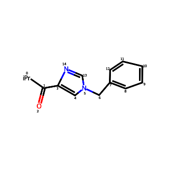 CC(C)C(=O)c1cn(Cc2ccccc2)cn1